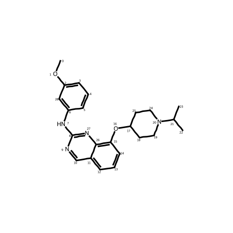 COc1cccc(Nc2ncc3cccc(OC4CCN(C(C)C)CC4)c3n2)c1